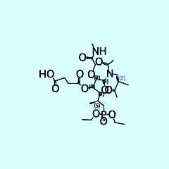 CCOP(=O)(C[C@@H](C)[C@H]1O[C@@H](N(/C=C(/C)C(C)=O)C(C)=O)[C@H](OCC(=O)NC)[C@@H]1OC(=O)CCC(=O)O)OCC